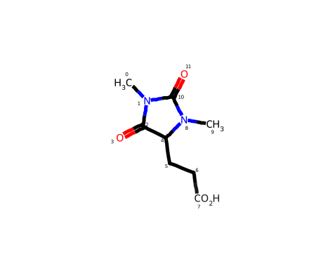 CN1C(=O)C(CCC(=O)O)N(C)C1=O